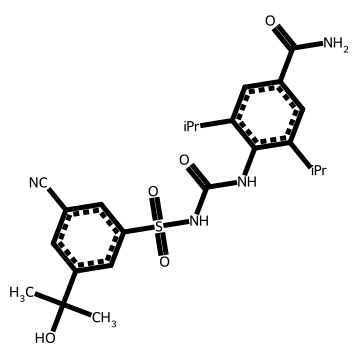 CC(C)c1cc(C(N)=O)cc(C(C)C)c1NC(=O)NS(=O)(=O)c1cc(C#N)cc(C(C)(C)O)c1